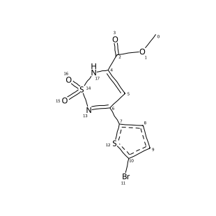 COC(=O)C1=CC(c2ccc(Br)s2)=NS(=O)(=O)N1